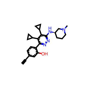 C#Cc1ccc(-c2nnc(N[C@@H]3CCCN(C)C3)c(C3CC3)c2C2CC2)c(O)c1